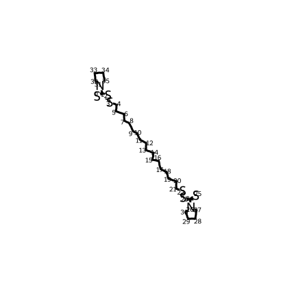 S=C(SSCCCCCCCCCCCCCCCCCCSSC(=S)N1CCCC1)N1CCCC1